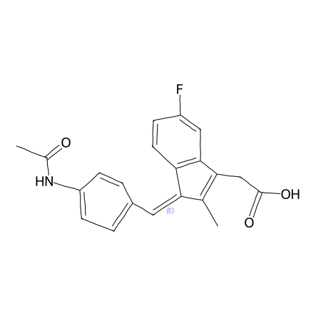 CC(=O)Nc1ccc(/C=C2/C(C)=C(CC(=O)O)c3cc(F)ccc32)cc1